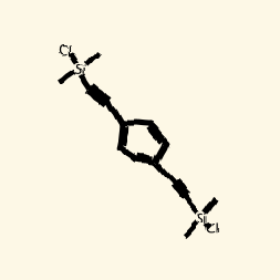 C[Si](C)(Cl)C#Cc1ccc(C#C[Si](C)(C)Cl)cc1